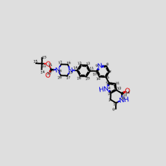 CC1Cc2[nH]c(-c3ccnc(-c4ccc(N5CCN(C(=O)OC(C)(C)C)CC5)cc4)c3)cc2C(=O)N1